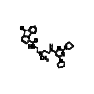 CN(CCNC(=O)c1cccc2c1-c1ccccc1C2=O)CCNc1cc(N2CCCC2)nc(N2CCCC2)n1